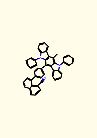 Cc1c2c3ccccc3n(-c3ccccc3)c2c(-c2ccc(-c3cccc4cccc(C#N)c34)cc2)c2c3ccccc3n(-c3ccccc3)c12